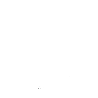 COC(=O)C1CC(O[Si](C)(C)C(C)(C)C)C1